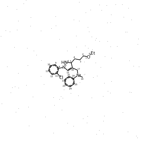 CCOCCCC1NN(c2ccccc2Cl)C=C1CN(C)c1ccccc1